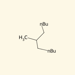 CCCCCC(C)CCCCC